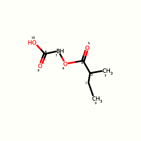 CCC(C)C(=O)OBC(=O)O